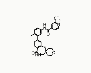 Cc1ccc(NC(=O)c2ccnc(C(F)(F)F)c2)cc1-c1ccc2c(c1)SC1(CCOCC1)CNC2=O